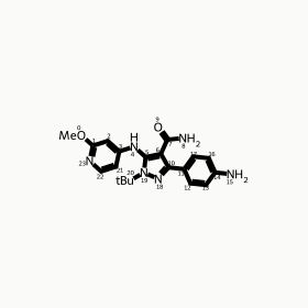 COc1cc(Nc2c(C(N)=O)c(-c3ccc(N)cc3)nn2C(C)(C)C)ccn1